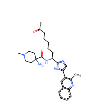 CCC(=O)CCCCC[C@H](NC(=O)C1(N)CCN(C)CC1)c1ncc(-c2cc3ccccc3nc2OC)[nH]1